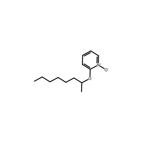 CCCCCCC(C)Oc1cccc[n+]1[O-]